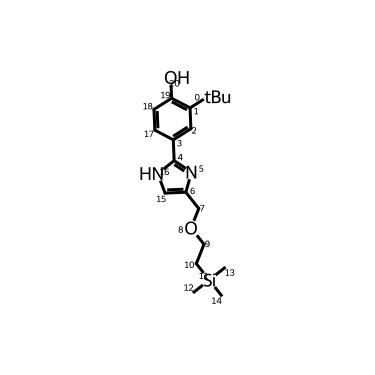 CC(C)(C)c1cc(-c2nc(COCC[Si](C)(C)C)c[nH]2)ccc1O